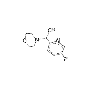 N#CC(c1ccc(F)cn1)N1CCOCC1